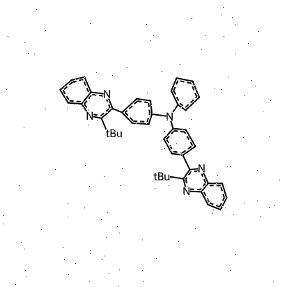 CC(C)(C)c1nc2ccccc2nc1-c1ccc(N(c2ccccc2)c2ccc(-c3nc4ccccc4nc3C(C)(C)C)cc2)cc1